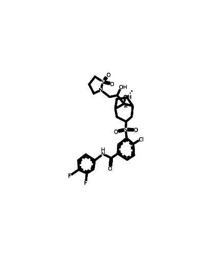 C[C@H]1CC2CC(S(=O)(=O)c3cc(C(=O)Nc4ccc(F)c(F)c4)ccc3Cl)CC1[C@@]2(O)C(O)CN1CCCS1(=O)=O